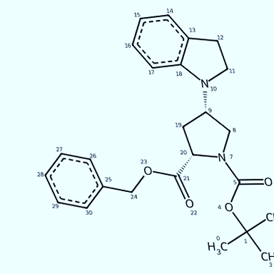 CC(C)(C)OC(=O)N1C[C@@H](N2CCc3ccccc32)C[C@H]1C(=O)OCc1ccccc1